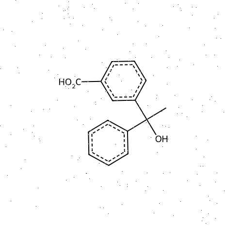 CC(O)(c1ccccc1)c1cccc(C(=O)O)c1